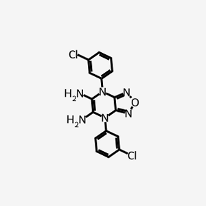 NC1=C(N)N(c2cccc(Cl)c2)c2nonc2N1c1cccc(Cl)c1